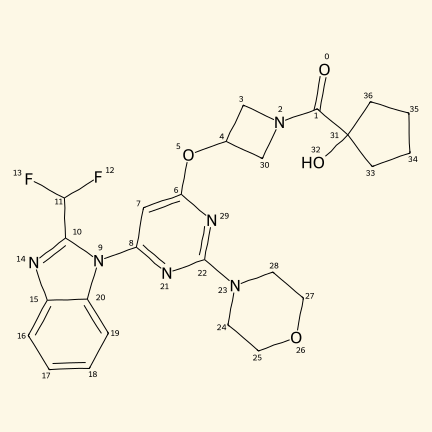 O=C(N1CC(Oc2cc(-n3c(C(F)F)nc4ccccc43)nc(N3CCOCC3)n2)C1)C1(O)CCCC1